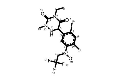 CCN1C(=O)C(c2cc([S+]([O-])CC(F)(F)F)c(C)cc2F)NN(C)C1=O